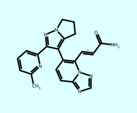 Cc1cccc(-c2nn3c(c2-c2ccc4ncnn4c2/C=C/C(N)=O)CCC3)n1